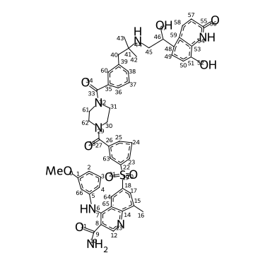 COc1cccc(Nc2c(C(N)=O)cnc3c(C)cc(S(=O)(=O)c4cccc(C(=O)N5CCN(C(=O)c6cccc(CC(C)(C)NCC(O)c7ccc(O)c8[nH]c(=O)ccc78)c6)CC5)c4)cc23)c1